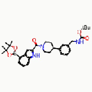 CC(C)(C)OC(=O)NCc1cccc(C2CCN(C(=O)c3cc4c(B5OC(C)(C)C(C)(C)O5)cccc4[nH]3)CC2)c1